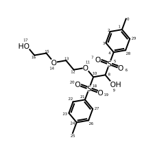 Cc1ccc(S(=O)(=O)C(O)C(OCCOCCO)S(=O)(=O)c2ccc(C)cc2)cc1